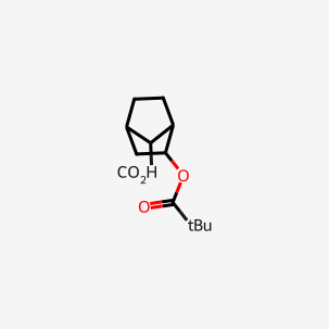 CC(C)(C)C(=O)OC1CC2CCC1C2C(=O)O